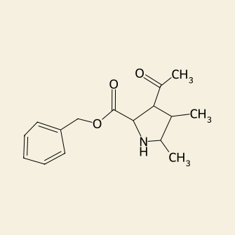 CC(=O)C1C(C(=O)OCc2ccccc2)NC(C)C1C